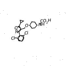 O=C(O)N[C@H]1CC[C@@H](OCc2c(-c3c(Cl)cccc3Cl)noc2C2CC2)CC1